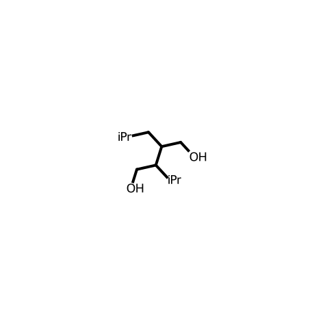 CC(C)CC(CO)C(CO)C(C)C